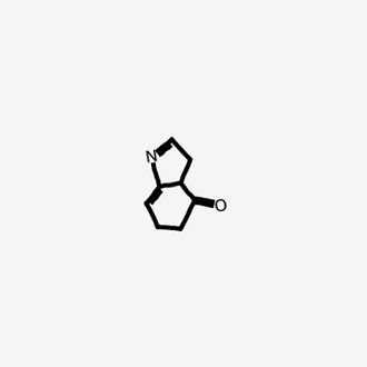 O=C1CCC=C2N=CCC12